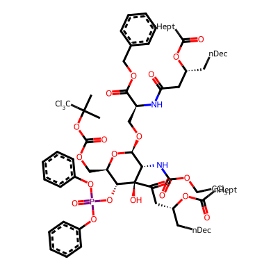 CCCCCCCCCCC[C@H](CC(=O)N[C@@H](CO[C@@H]1O[C@H](COC(=O)OC(C)(C)C(Cl)(Cl)Cl)[C@@H](OP(=O)(Oc2ccccc2)Oc2ccccc2)[C@@](O)(C(=O)C[C@@H](CCCCCCCCCCC)OC(=O)CCCCCCC)[C@H]1NC(=O)OCC(Cl)(Cl)Cl)C(=O)OCc1ccccc1)OC(=O)CCCCCCC